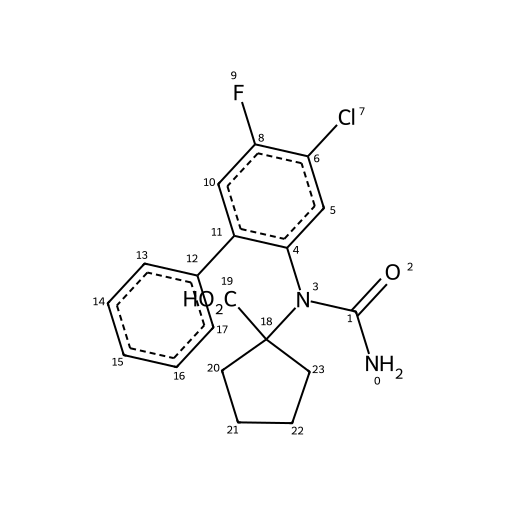 NC(=O)N(c1cc(Cl)c(F)cc1-c1ccccc1)C1(C(=O)O)CCCC1